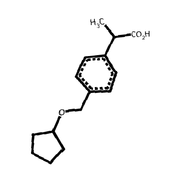 CC(C(=O)O)c1ccc(COC2CCCC2)cc1